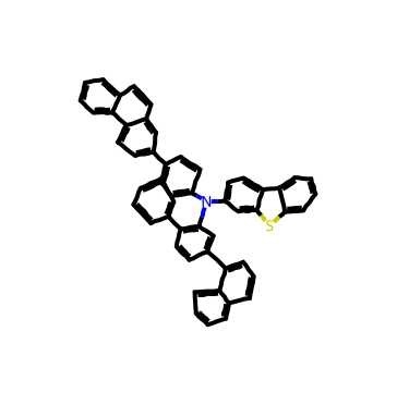 c1ccc(-c2ccc(-c3cccc4ccccc34)cc2N(c2ccc(-c3ccc4c(ccc5ccccc54)c3)cc2)c2ccc3c(c2)sc2ccccc23)cc1